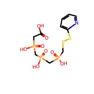 O=C(O)CP(=O)(O)CP(=O)(O)CP(=O)(O)CSSc1ccccn1